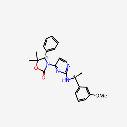 COc1cccc([C@H](C)Nc2nccc(N3C(=O)OC(C)(C)[C@@H]3c3ccccc3)n2)c1